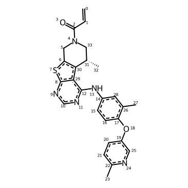 C=CC(=O)N1Cc2sc3ncnc(Nc4ccc(Oc5ccc(C)nc5)c(C)c4)c3c2[C@@H](C)C1